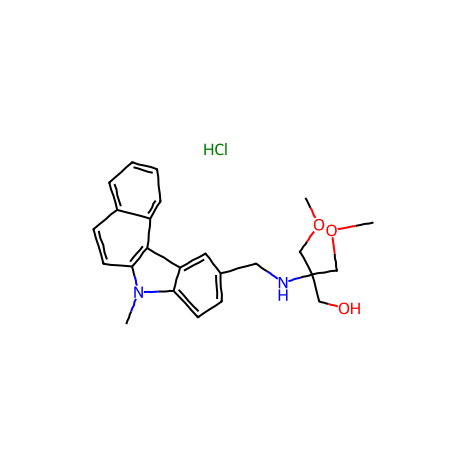 COCC(CO)(COC)NCc1ccc2c(c1)c1c3ccccc3ccc1n2C.Cl